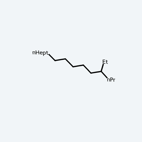 C[CH]CC(CC)CCCCCCCCCCCC